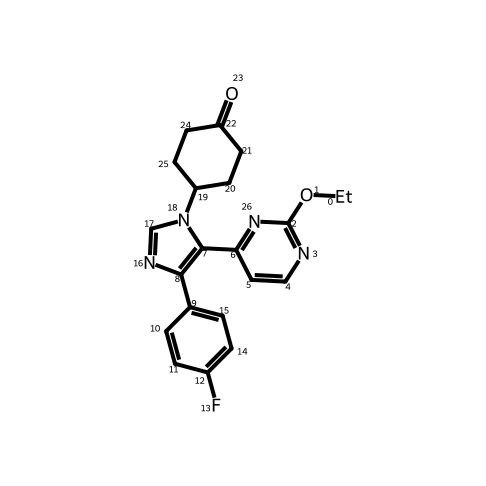 CCOc1nccc(-c2c(-c3ccc(F)cc3)ncn2C2CCC(=O)CC2)n1